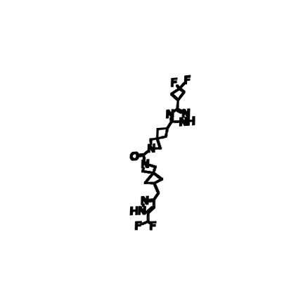 O=C(N1CC2(CC(Cc3cc(C(F)F)[nH]n3)C2)C1)N1CC2(CC(c3nc(C4CC(F)(F)C4)n[nH]3)C2)C1